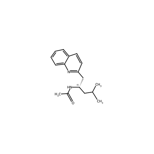 CC(=O)N[C@H](Cc1ccc2ccccc2n1)CC(C)C